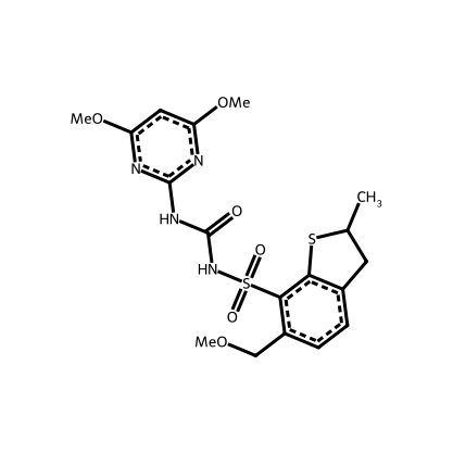 COCc1ccc2c(c1S(=O)(=O)NC(=O)Nc1nc(OC)cc(OC)n1)SC(C)C2